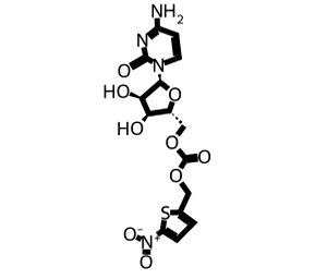 Nc1ccn([C@@H]2O[C@H](COC(=O)OCc3ccc([N+](=O)[O-])s3)[C@@H](O)[C@H]2O)c(=O)n1